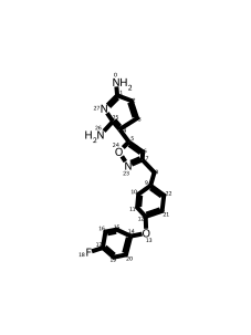 Nc1ccc(-c2cc(Cc3ccc(Oc4ccc(F)cc4)cc3)no2)c(N)n1